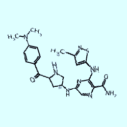 Cc1cc(Nc2nc(N[C@@H]3CNC(C(=O)c4ccc(N(C)C)cc4)C3)cnc2C(N)=O)sn1